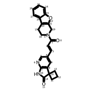 O=C(/C=C/c1cnc2c(c1)C1(CCC1)C(=O)N2)N1CCc2c(oc3ccccc23)C1